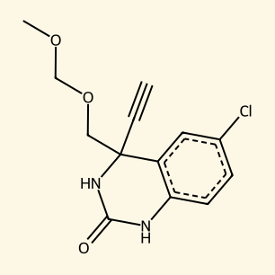 C#CC1(COCOC)NC(=O)Nc2ccc(Cl)cc21